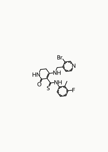 Cc1c(F)cccc1NC(=S)C1=C(NCc2ccncc2Br)CCNC1=O